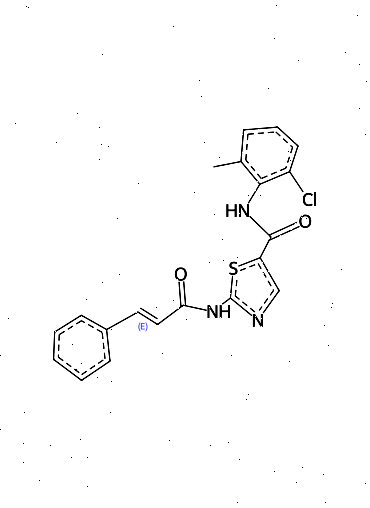 Cc1cccc(Cl)c1NC(=O)c1cnc(NC(=O)/C=C/c2ccccc2)s1